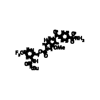 CO[C@]12CN(C(=O)OCc3ncc(C(F)(F)F)cc3NC(=O)C(C)(C)C)C[C@@H]1CN(C(=O)c1ccc(S(N)(=O)=O)cc1)C2